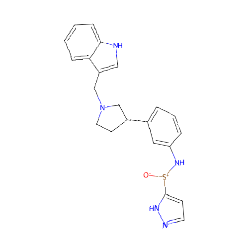 [O-][S+](Nc1cccc(C2CCN(Cc3c[nH]c4ccccc34)C2)c1)c1ccn[nH]1